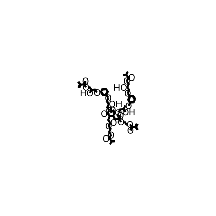 C=C(C)C(=O)OCCOC(=O)CC(C(=O)OCC(O)COc1cccc(OCC(O)COC(=O)C(=C)C)c1)C(CC(=O)OCCOC(=O)C(=C)C)C(=O)OCC(O)COc1cccc(OCC(O)COC(=O)C(C)C)c1